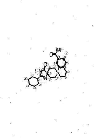 NC(=O)c1ccc2c(c1)S1(CCC2)CCC2(CC1)N=C(C1CCCCC1)NC2=O